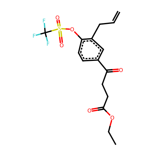 C=CCc1cc(C(=O)CCC(=O)OCC)ccc1OS(=O)(=O)C(F)(F)F